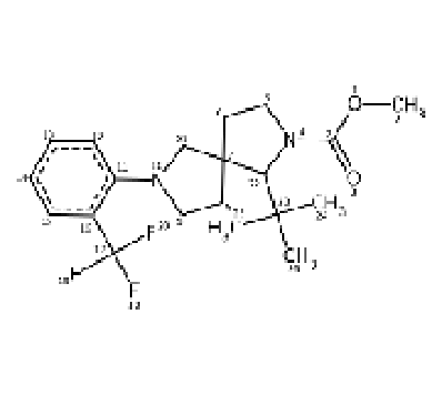 COC(=O)N1CCC2(CCN(c3ccccc3C(F)(F)F)C2)C1C(C)(C)C